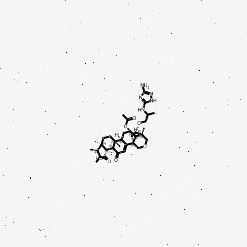 CC(=O)O[C@@H]1C[C@@]23COC[C@](C)([C@@H]2CC[C@H]2C3=CC(=O)[C@@]3(C)[C@H](C(=O)O)[C@@](C)([C@H](C)C(C)C)CC[C@]23C)[C@H]1OCC(C)Nc1nc(N)n[nH]1